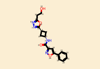 O=C(N[C@H]1C[C@H](c2nnc(CCO)o2)C1)c1cc(-c2ccccc2)on1